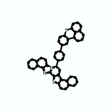 c1cc2c3c(cccc3c1)-c1cc(-c3ccc(-c4cc5c(sc6ccc7ccccc7c65)c5nc6c7ccccc7ccc6n45)cc3)ccc1S2